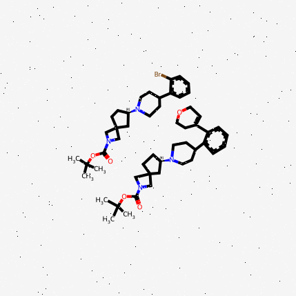 CC(C)(C)OC(=O)N1CC2(CC[C@@H](N3CCC(c4ccccc4Br)CC3)C2)C1.CC(C)(C)OC(=O)N1CC2(CC[C@@H](N3CCC(c4ccccc4C4=CCOCC4)CC3)C2)C1